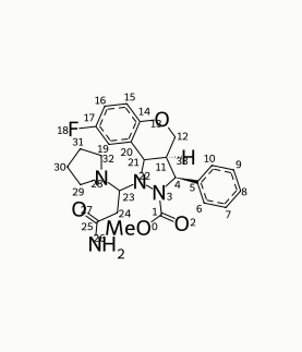 COC(=O)N1[C@H](c2ccccc2)[C@@H]2COc3ccc(F)cc3C2N1C(CC(N)=O)N1CCCC1